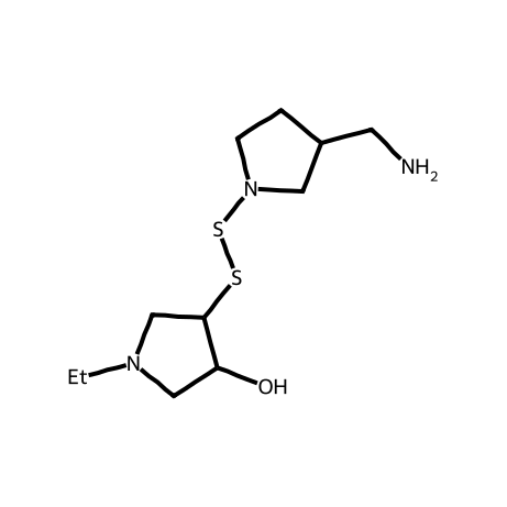 CCN1CC(O)C(SSN2CCC(CN)C2)C1